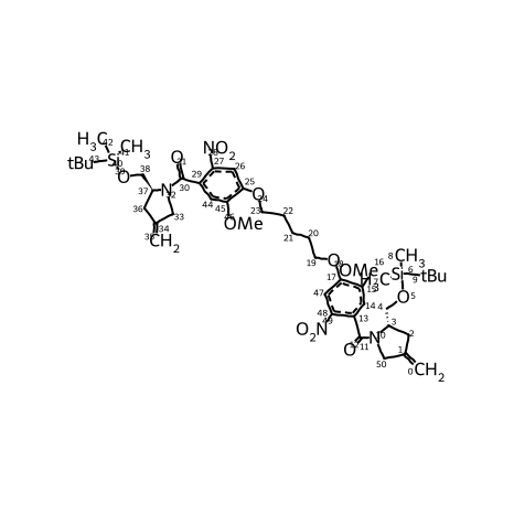 C=C1C[C@@H](CO[Si](C)(C)C(C)(C)C)N(C(=O)c2cc(OC)c(OCCCCCOc3cc([N+](=O)[O-])c(C(=O)N4CC(=C)C[C@H]4CO[Si](C)(C)C(C)(C)C)cc3OC)cc2[N+](=O)[O-])C1